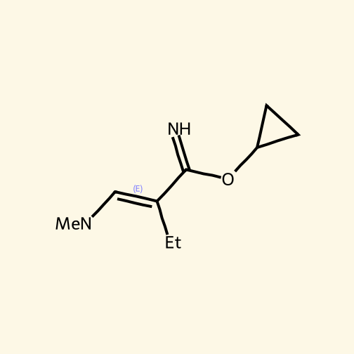 CC/C(=C\NC)C(=N)OC1CC1